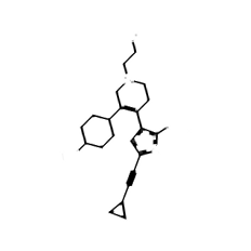 CC1CCC(C2=C(c3cc(C#CC4CC4)sc3C(=O)O)CCN(CCO)C2)CC1